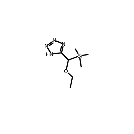 CCOC(c1nnn[nH]1)[Si](C)(C)C